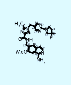 COc1cc2c(N)nccc2cc1CNC(=O)c1nc(C)n(Cc2cnc(N3CCC(F)(F)C3)nc2)n1